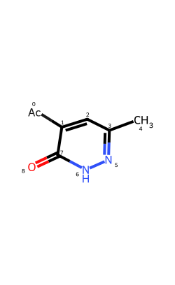 CC(=O)c1cc(C)n[nH]c1=O